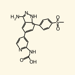 CS(=O)(=O)c1ccc(-c2cc(-c3ccnc(NC(=O)O)c3)cc3c(N)n[nH]c23)cc1